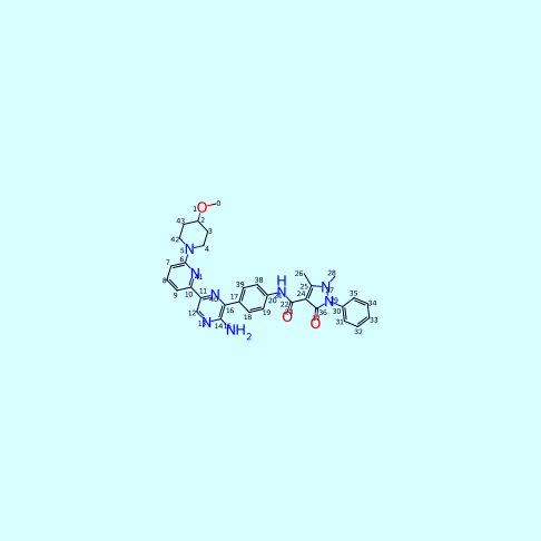 COC1CCN(c2cccc(-c3cnc(N)c(-c4ccc(NC(=O)c5c(C)n(C)n(-c6ccccc6)c5=O)cc4)n3)n2)CC1